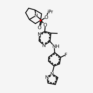 Cc1c(Nc2ccc(-n3cccn3)cc2F)ncnc1OC1CC2CCC(C1)N2C(=O)OC(C)C